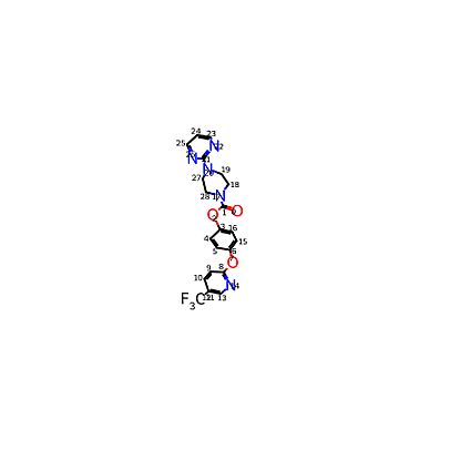 O=C(Oc1ccc(Oc2ccc(C(F)(F)F)cn2)cc1)N1CCN(c2ncccn2)CC1